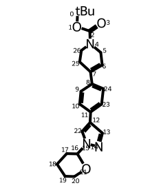 CC(C)(C)OC(=O)N1CC=C(c2ccc(-c3cnn(C4CCCCO4)c3)cc2)CC1